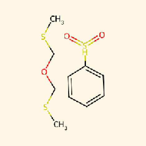 CSCOCSC.O=[SH](=O)c1ccccc1